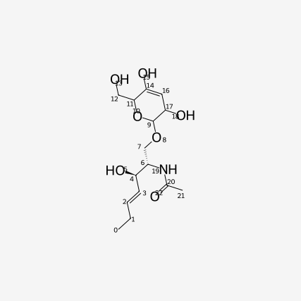 CC/C=C/[C@@H](O)[C@H](COC1OC(CO)C(O)=CC1O)NC(C)=O